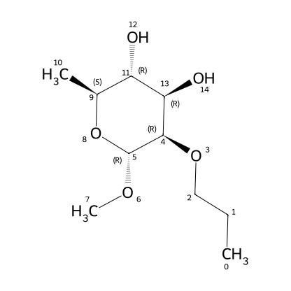 CCCO[C@H]1[C@H](OC)O[C@@H](C)[C@H](O)[C@H]1O